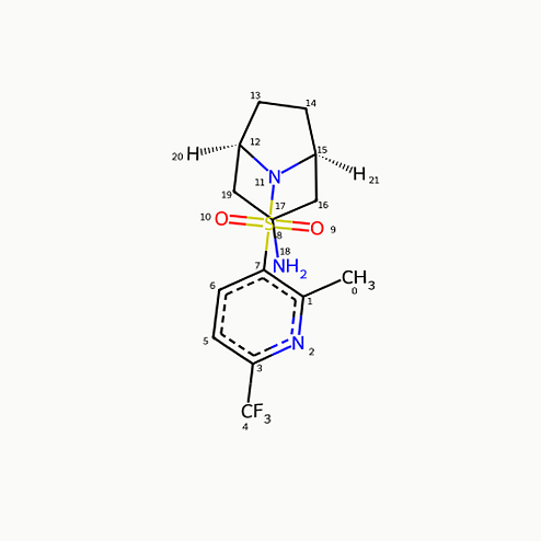 Cc1nc(C(F)(F)F)ccc1S(=O)(=O)N1[C@@H]2CC[C@H]1CC(N)C2